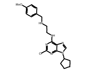 COc1ccc(CNCCNc2nc(Cl)nc3c2ncn3C2CCCC2)cc1